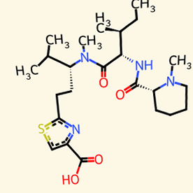 CC[C@H](C)[C@H](NC(=O)[C@H]1CCCCN1C)C(=O)N(C)[C@H](CCc1nc(C(=O)O)cs1)C(C)C